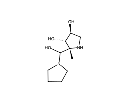 C[C@]1(C(O)N2CCCC2)NC[C@H](O)[C@H]1O